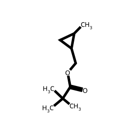 CC1CC1COC(=O)C(C)(C)C